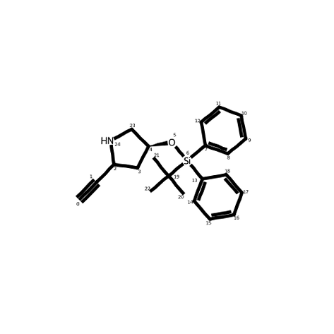 C#CC1C[C@H](O[Si](c2ccccc2)(c2ccccc2)C(C)(C)C)CN1